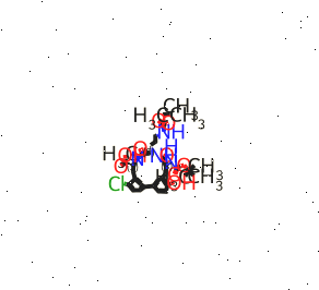 CN1C(=O)[C@H](CCCNC(=O)OC(C)(C)C)NC(=O)[C@@H](NC(=O)OC(C)(C)C)Cc2cc(ccc2O)-c2ccc(Cl)c(c2)C[C@H]1C(=O)O